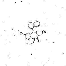 CC(C)(C)CN1C(=O)C(CC#N)SC(c2cccc3ccccc23)c2cc(Cl)ccc21